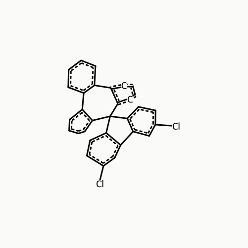 Clc1ccc2c(c1)-c1cc(Cl)ccc1C21c2ccccc2-c2ccccc2-c2ccccc21